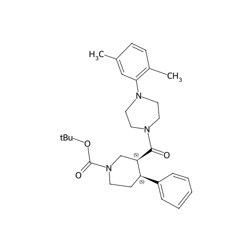 Cc1ccc(C)c(N2CCN(C(=O)[C@@H]3CN(C(=O)OC(C)(C)C)CC[C@@H]3c3ccccc3)CC2)c1